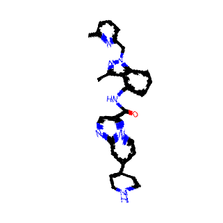 Cc1cccc(Cn2nc(C)c3c(NC(=O)c4cnc5cc(C6=CCNCC6)ccn45)cccc32)n1